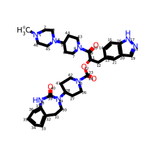 CN1CCN(C2CCN(C(=O)C(Cc3ccc4[nH]ncc4c3)OC(=O)N3CCC(N4CCc5ccccc5NC4=O)CC3)CC2)CC1